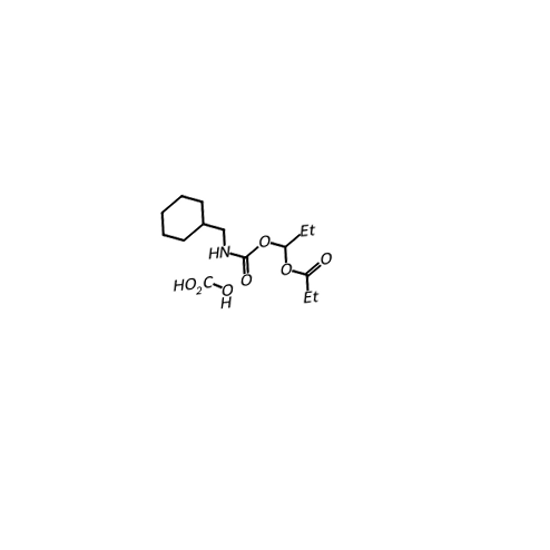 CCC(=O)OC(CC)OC(=O)NCC1CCCCC1.O=C(O)O